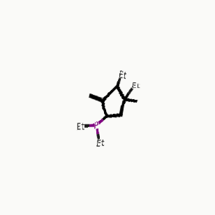 CCC1C(C)C(P(CC)CC)CC1(C)CC